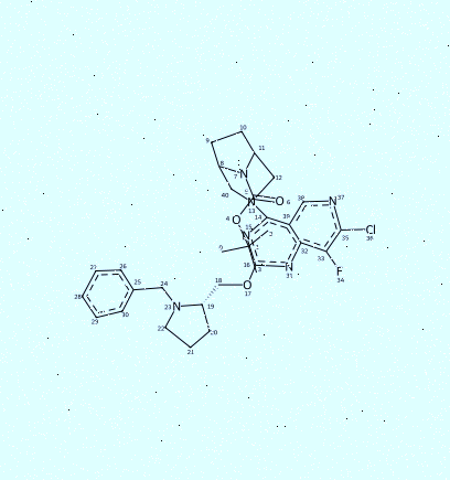 CC(C)(C)OC(=O)N1C2CCC1CN(c1nc(OC[C@@H]3CCCN3Cc3ccccc3)nc3c(F)c(Cl)ncc13)C2